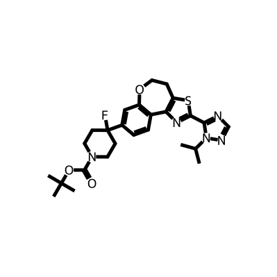 CC(C)n1ncnc1-c1nc2c(s1)CCOc1cc(C3(F)CCN(C(=O)OC(C)(C)C)CC3)ccc1-2